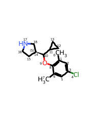 Cc1cc(Cl)cc(C)c1OC(C1CC1)[C@H]1CCNC1